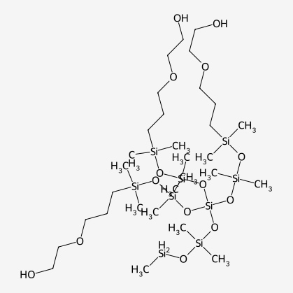 C[SiH2]O[Si](C)(C)O[Si](O[Si](C)(C)O[Si](C)(C)CCCOCCO)(O[Si](C)(C)O[Si](C)(C)CCCOCCO)O[Si](C)(C)O[Si](C)(C)CCCOCCO